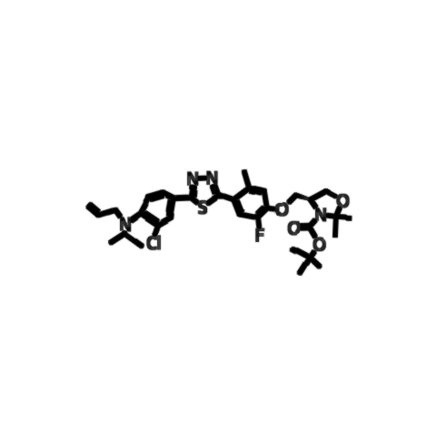 C=CCN(c1ccc(-c2nnc(-c3cc(F)c(OC[C@H]4COC(C)(C)N4C(=O)OC(C)(C)C)cc3C)s2)cc1Cl)C(C)C